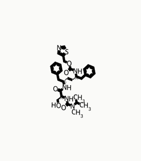 CC(C)N(C)C(=O)N[C@@H](CO)C(=O)N[C@@H](CC[C@@H](Cc1ccccc1)NC(=O)OCc1cncs1)Cc1ccccc1